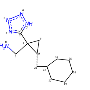 NCC1(c2nnn[nH]2)CC1CC1CCCCC1